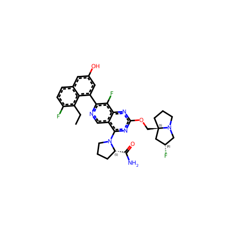 CCc1c(F)ccc2cc(O)cc(-c3ncc4c(N5CCC[C@H]5C(N)=O)nc(OC[C@@]56CCCN5C[C@H](F)C6)nc4c3F)c12